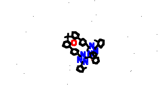 Cc1ccccc1C1=NC(c2ccccc2)=NCC(c2ccc(-c3cccc4c3Oc3c(-c5ccc(-c6nc(-c7ccccc7C)nc(C7C=CC=CC7)n6)cc5)cccc3C4(C)C)cc2)=N1